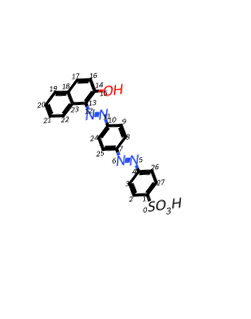 O=S(=O)(O)c1ccc(/N=N/c2ccc(/N=N/c3c(O)ccc4ccccc34)cc2)cc1